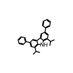 CC(C)c1cc(-c2ccccc2)cc2c1[nH]c1c(C(C)C)cc(-c3ccccc3)cc12